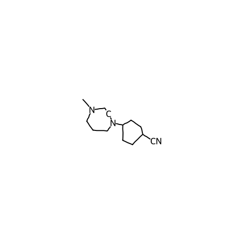 CN1CCCN(C2CCC(C#N)CC2)CC1